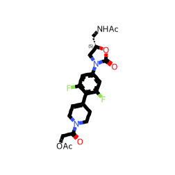 CC(=O)NC[C@H]1CN(c2cc(F)c(C3=CCN(C(=O)COC(C)=O)CC3)c(F)c2)C(=O)O1